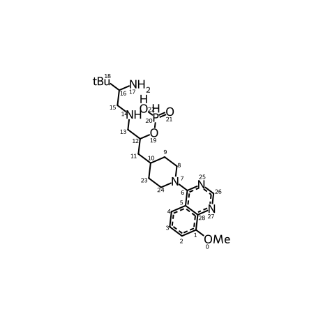 COc1cccc2c(N3CCC(CC(CNCC(N)C(C)(C)C)O[PH](=O)O)CC3)ncnc12